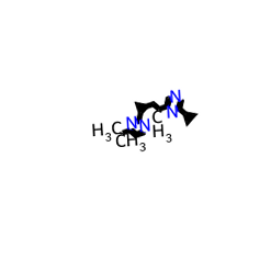 CC(C)c1ccnc(C2CC2CC(C)c2cncc(C3CC3)n2)n1